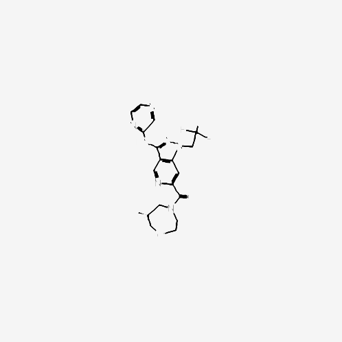 O=C(c1cc2c(cn1)c(Nc1cnccn1)nn2CC(F)(F)F)N1CCOC[C@@H](F)C1